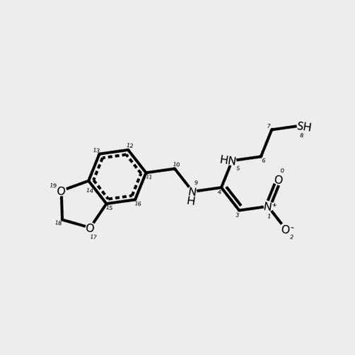 O=[N+]([O-])/C=C(\NCCS)NCc1ccc2c(c1)OCO2